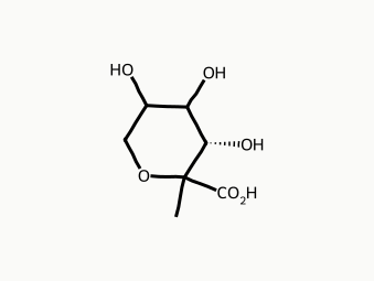 CC1(C(=O)O)OCC(O)C(O)[C@@H]1O